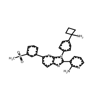 CS(=O)(=O)c1cccc(-c2ccc3nc(-c4cccnc4N)n(-c4ccc(C5(N)CCC5)cc4)c3n2)c1